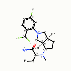 CC(C)C[C@@H](C(N)=O)N(C)[C@H]1CC[C@@H]2CN(c3cc(F)ccc3C(F)F)C[C@@H]21